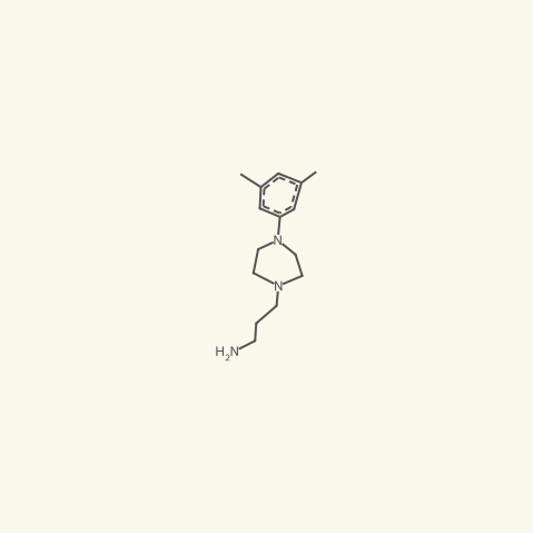 Cc1cc(C)cc(N2CCN(CCCN)CC2)c1